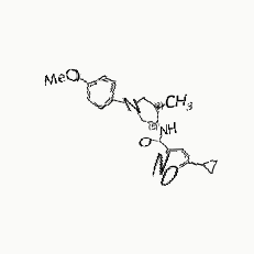 COc1ccc(N2C[C@@H](C)[C@H](NC(=O)c3cc(C4CC4)on3)C2)cc1